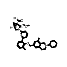 COC[C@@H]1N(c2cccc(-c3cccc(C)c3OCc3cc(C)c4c(c3)CCN(C3CCCCC3)C4)n2)C[C@H]2C[C@]21C(=O)O